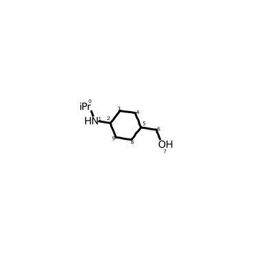 CC(C)NC1CCC(CO)CC1